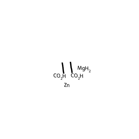 CC(=O)O.CC(=O)O.[MgH2].[Zn]